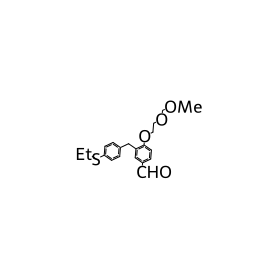 CCSc1ccc(Cc2cc(C=O)ccc2OCCOCOC)cc1